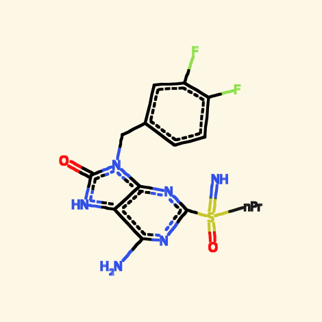 CCCS(=N)(=O)c1nc(N)c2[nH]c(=O)n(Cc3ccc(F)c(F)c3)c2n1